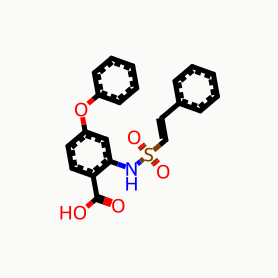 O=C(O)c1ccc(Oc2ccccc2)cc1NS(=O)(=O)C=Cc1ccccc1